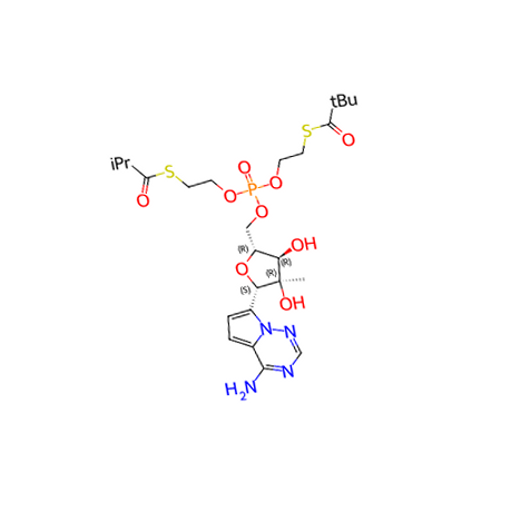 CC(C)C(=O)SCCOP(=O)(OCCSC(=O)C(C)(C)C)OC[C@H]1O[C@@H](c2ccc3c(N)ncnn23)[C@](C)(O)[C@@H]1O